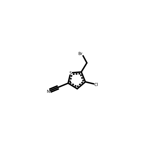 N#Cc1cc(Cl)c(CBr)s1